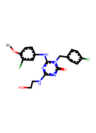 CC(C)Oc1ccc(Nc2nc(NCCO)nc(=O)n2Cc2ccc(Cl)cc2)cc1F